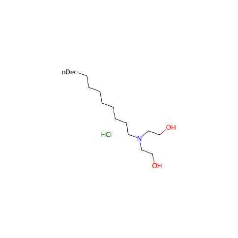 CCCCCCCCCCCCCCCCCCN(CCO)CCO.Cl